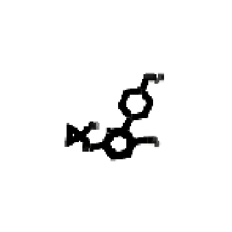 CC(=O)C1(Nc2ccc([N+](=O)[O-])c(N3CCN(C(=O)O)CC3)n2)CC1